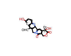 CC[C@@]1(O)C(=O)OCc2c1cc1n(c2=O)Cc2c-1nc1ccc(O)cc1c2C=O